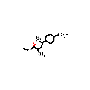 CCCC(C)C(=O)C(C)CC(C)C1CCC(C(=O)O)CC1